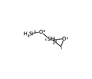 C1CO1.[SiH3]O[SiH3]